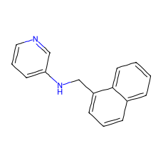 c1cncc(NCc2cccc3ccccc23)c1